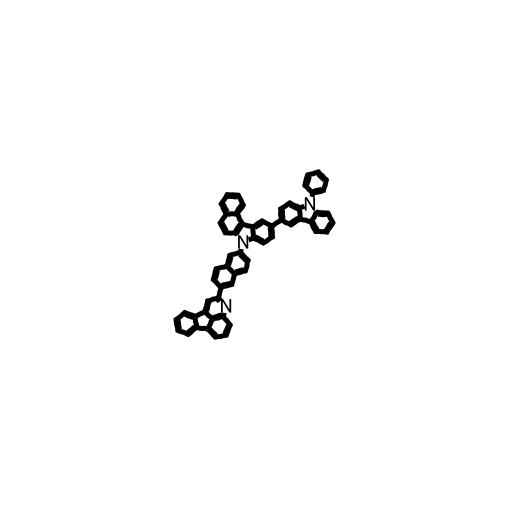 c1ccc(-n2c3ccccc3c3cc(-c4ccc5c(c4)c4c6ccccc6ccc4n5-c4ccc5cc(-c6cc7c8c(cccc8n6)-c6ccccc6-7)ccc5c4)ccc32)cc1